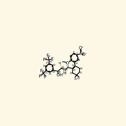 COc1ccc([N+](=O)[O-])cc1C1=C(CN[C@@H](C)[C@H](O)c2cc(C(F)(F)F)cc(C(F)(F)F)c2)CC(C)(C)CC1